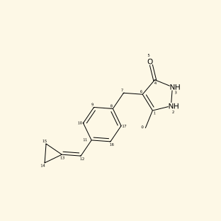 Cc1[nH][nH]c(=O)c1Cc1ccc(C=C2CC2)cc1